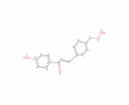 O=C(C=Cc1ccc(COO)cc1)c1ccc(O)cc1